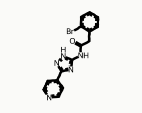 O=C(Cc1ccccc1Br)Nc1nc(-c2ccncc2)n[nH]1